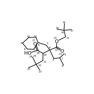 CC(C)CC(CC1CCCCC1)(C(=O)OCC(C)(C)C)C(CC(C)(C)C)C(=O)O